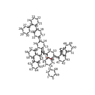 c1ccc(-c2cccc(-c3c(N(c4ccc(-c5ccc(-c6ccccc6-c6ccccc6)cc5)cc4)c4ccc(-c5cccc6c5sc5ccccc56)cc4)c4ccccc4c4ccccc34)c2)cc1